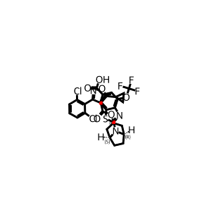 O=C(O)c1cc(OC(F)(F)F)c2nc(N3[C@@H]4CC[C@H]3C[C@@H](OC(=O)c3c(-c5c(Cl)cccc5Cl)noc3C3CC3)C4)sc2c1